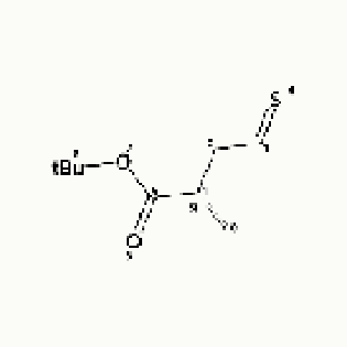 C[C@@H](CC=S)C(=O)OC(C)(C)C